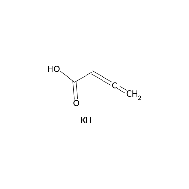 C=C=CC(=O)O.[KH]